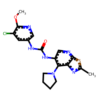 COc1ncc(NC(=O)Nc2cnc3sc(C)nc3c2N2CCCC2)cc1Cl